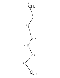 CCCSSCCC